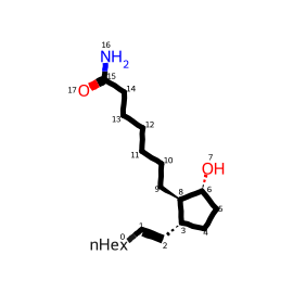 CCCCCCC=C[C@H]1CC[C@@H](O)[C@@H]1CCCCCCC(N)=O